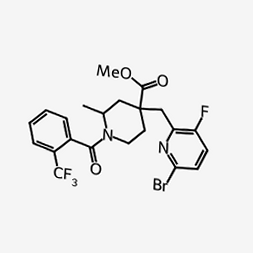 COC(=O)C1(Cc2nc(Br)ccc2F)CCN(C(=O)c2ccccc2C(F)(F)F)C(C)C1